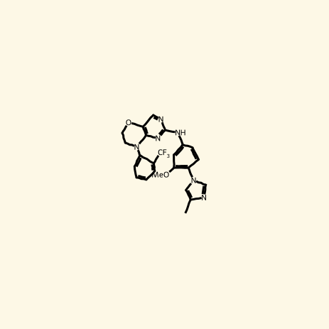 COc1cc(Nc2ncc3c(n2)N(c2ccccc2C(F)(F)F)CCO3)ccc1-n1cnc(C)c1